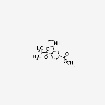 COC(=O)c1ccc(S(=O)(=O)C(C)C)c(C2CCCN2)c1